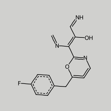 C=N/C(C1=NC=C=C(Cc2ccc(F)cc2)O1)=C(/O)C=N